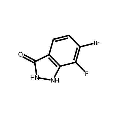 O=c1[nH][nH]c2c(F)c(Br)ccc12